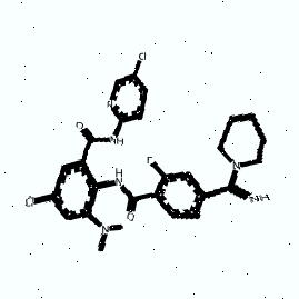 CN(C)c1cc(Cl)cc(C(=O)Nc2ccc(Cl)cn2)c1NC(=O)c1ccc(C(=N)N2CCCCC2)cc1F